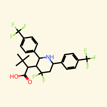 CC(C)(C)C(C(=O)O)C1C(c2ccc(C(F)(F)F)cc2)NC(c2ccc(C(F)(F)F)cc2)CC1(F)F